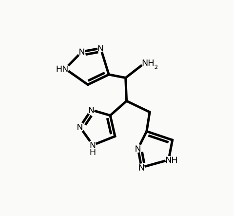 NC(c1c[nH]nn1)C(Cc1c[nH]nn1)c1c[nH]nn1